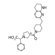 O=C(O)C(c1ccccc1)N1CC[C@@H](C(=O)N2CCC(Cc3ccc4c(n3)NCCC4)CC2)C1